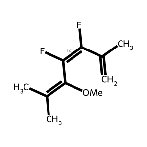 C=C(C)/C(F)=C(/F)C(OC)=C(C)C